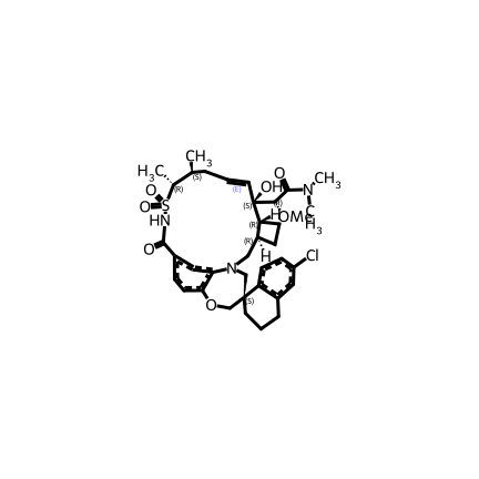 CO[C@@H](C(=O)N(C)C)[C@@]1(O)/C=C/C[C@H](C)[C@@H](C)S(=O)(=O)NC(=O)c2ccc3c(c2)N(C[C@@H]2CC[C@H]21)C[C@@]1(CCCc2cc(Cl)ccc21)CO3